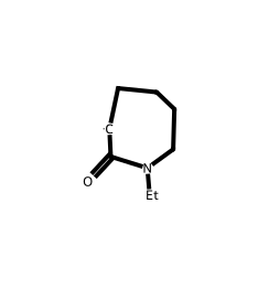 CCN1CCCC[CH]C1=O